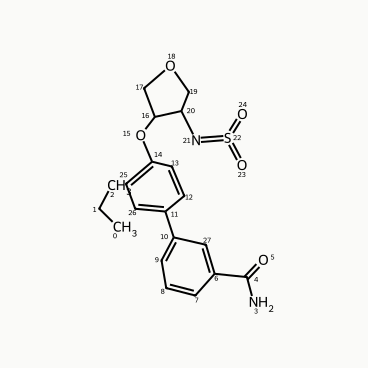 CCC.NC(=O)c1cccc(-c2ccc(OC3COCC3N=S(=O)=O)cc2)c1